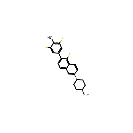 CCC[C@H]1CC[C@H](c2ccc3c(F)c(-c4cc(F)c(C#N)c(F)c4)ccc3c2)CC1